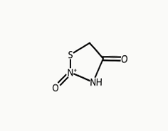 O=C1CS[N+](=O)N1